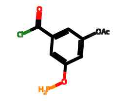 CC(=O)Oc1cc(OP)cc(C(=O)Cl)c1